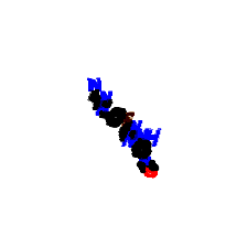 N#CCc1cn(Cc2ccc(Sc3ccnc(Nc4ccc(N5CCOCC5)cc4)n3)cc2)cn1